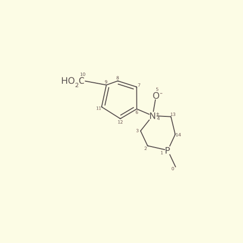 CP1CC[N+]([O-])(c2ccc(C(=O)O)cc2)CC1